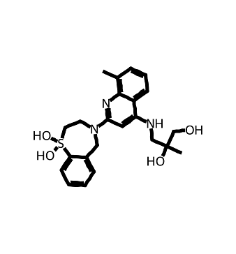 Cc1cccc2c(NCC(C)(O)CO)cc(N3CCS(O)(O)c4ccccc4C3)nc12